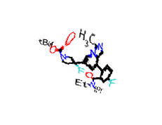 CCN(C(=O)c1cc(F)ccc1-c1cc(C2(F)CCN(C(=O)OC(C)(C)C)C2)cn2c(C)ncc12)C(C)C